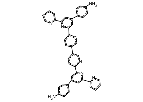 Nc1ccc(-c2cc(-c3ccccn3)nc(-c3ccc(-c4ccc(-c5cc(-c6ccc(N)cc6)cc(-c6ccccn6)n5)nc4)cn3)c2)cc1